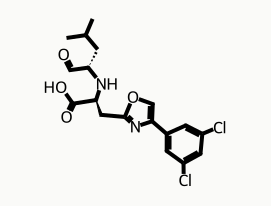 CC(C)C[C@@H](C=O)N[C@@H](Cc1nc(-c2cc(Cl)cc(Cl)c2)co1)C(=O)O